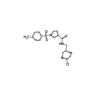 Cc1ccc(S(=O)(=O)n2ccc(C(=O)NCc3cnc(Cl)cn3)c2)cc1